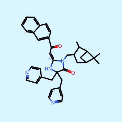 CC1C(CN2C(=O)C(Cc3ccncc3)(Cc3ccncc3)N/C2=C/C(=O)c2ccc3ccccc3c2)CC2CC1C2(C)C